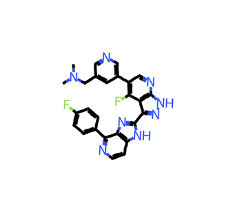 CN(C)Cc1cncc(-c2cnc3[nH]nc(-c4nc5c(-c6ccc(F)cc6)nccc5[nH]4)c3c2F)c1